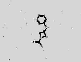 O=C(I)N1CC(Oc2cccnc2)C1